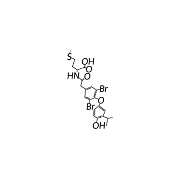 CSCCC(NC(=O)Cc1cc(Br)c(Oc2ccc(O)c(C(C)C)c2)c(Br)c1)C(=O)O